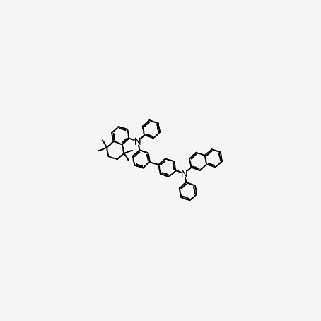 CC1(C)CCC(C)(C)c2c(N(c3ccccc3)c3cccc(-c4ccc(N(c5ccccc5)c5ccc6ccccc6c5)cc4)c3)cccc21